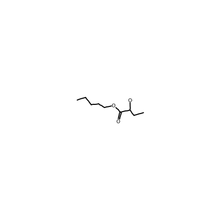 CCCCCOC(=O)C([O])CC